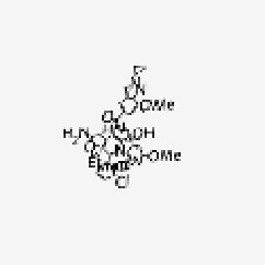 CCOc1c(CC(N)=O)cc([C@@](O)(CNC(=O)c2cc(OC)c3nn(C4CC4)cc3c2)c2cc(OC)nc(OC)c2)nc1-c1cccc(Cl)c1Cl